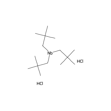 CC(C)(C)[CH2][Nb]([CH2]C(C)(C)C)[CH2]C(C)(C)C.Cl.Cl